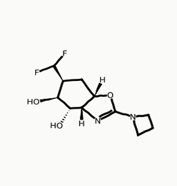 O[C@@H]1[C@@H](O)[C@@H](C(F)F)C[C@@H]2OC(N3CCC3)=N[C@H]12